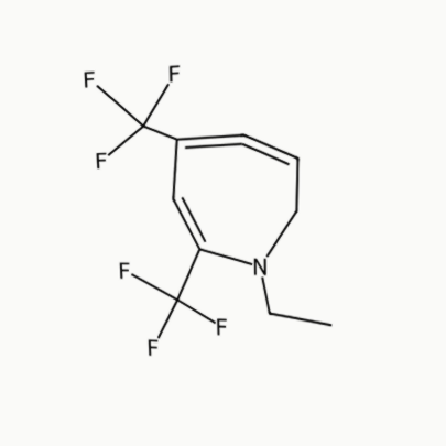 CCN1CC=C=C(C(F)(F)F)C=C1C(F)(F)F